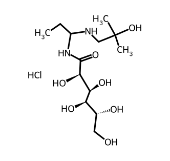 CCC(NCC(C)(C)O)NC(=O)[C@H](O)[C@@H](O)[C@H](O)[C@H](O)CO.Cl